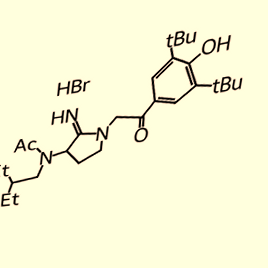 Br.CCC(CC)CN(C(C)=O)C1CCN(CC(=O)c2cc(C(C)(C)C)c(O)c(C(C)(C)C)c2)C1=N